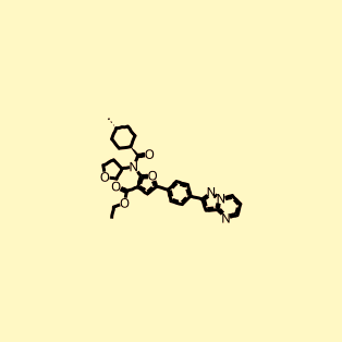 CCOC(=O)c1cc(-c2ccc(-c3cc4ncccn4n3)cc2)oc1N(C(=O)[C@H]1CC[C@H](C)CC1)C1CCOC1